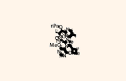 CCCO[C@@H](c1ncc(C)cn1)[C@H](C)S(=O)(=O)Nc1nnc(C2CCC2)n1-c1c(OC)ncnc1OC